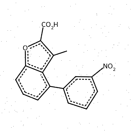 Cc1c(C(=O)O)oc2cccc(-c3cccc([N+](=O)[O-])c3)c12